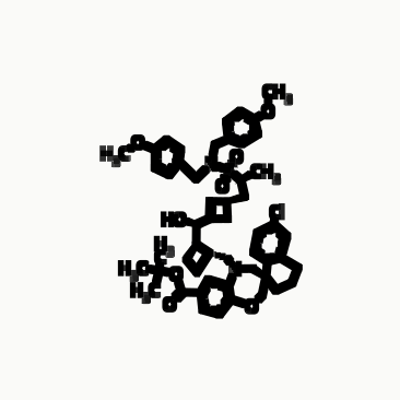 COc1ccc(CN(Cc2ccc(OC)cc2)S(=O)(=O)[C@@H](C)C[C@@H]2C=C([C@H](O)[C@@H]3CC[C@H]3CN3C[C@@]4(CCCc5cc(Cl)ccc54)COc4ccc(C(=O)OC(C)(C)C)cc43)C2)cc1